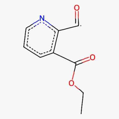 CCOC(=O)c1cccnc1[C]=O